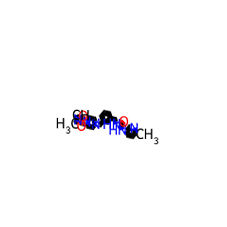 Cc1ccc(NC(=O)NCc2cccc(CN3CCN(S(=O)(=O)N(C)C)CC3)c2)cn1